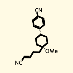 CO[C@]1(CCC=CC#N)CC[C@H](c2ccc(C#N)cc2)CC1